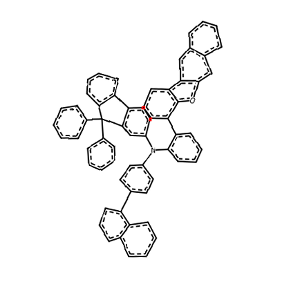 c1ccc(C2(c3ccccc3)c3ccccc3-c3ccc(N(c4ccc(-c5cccc6ccccc56)cc4)c4ccccc4-c4cccc5c4oc4cc6ccccc6cc45)cc32)cc1